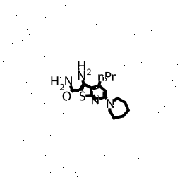 CCCc1cc(N2CCCCCC2)nc2sc(C(N)=O)c(N)c12